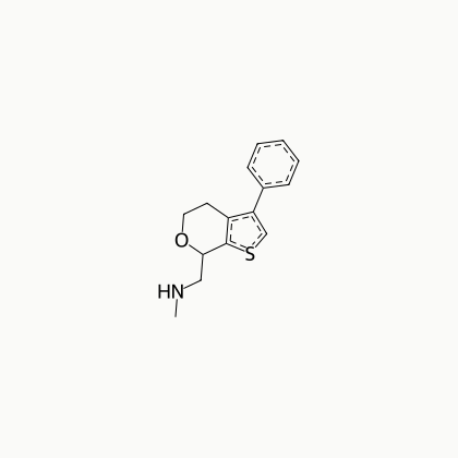 CNCC1OCCc2c(-c3ccccc3)csc21